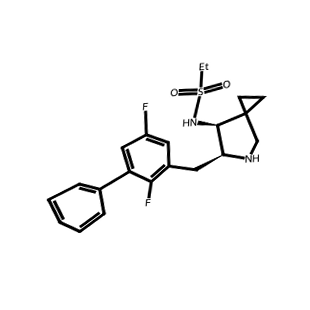 CCS(=O)(=O)N[C@@H]1[C@H](Cc2cc(F)cc(-c3ccccc3)c2F)NCC12CC2